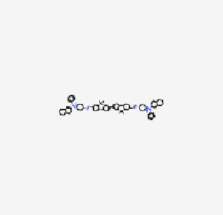 CC1(C)c2cc(/C=C/c3ccc(N(c4ccccc4)c4ccc5ccccc5c4)cc3)ccc2-c2ccc(-c3ccc4c(c3)C(C)(C)c3cc(/C=C/c5ccc(N(c6ccccc6)c6ccc7ccccc7c6)cc5)ccc3-4)cc21